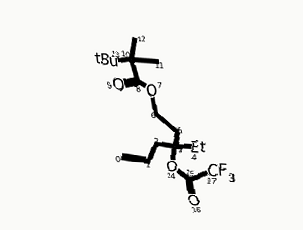 C=CCC(CC)(CCOC(=O)C(C)(C)C(C)(C)C)OC(=O)C(F)(F)F